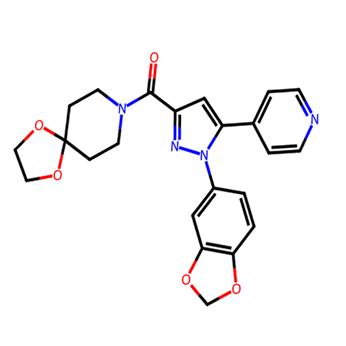 O=C(c1cc(-c2ccncc2)n(-c2ccc3c(c2)OCO3)n1)N1CCC2(CC1)OCCO2